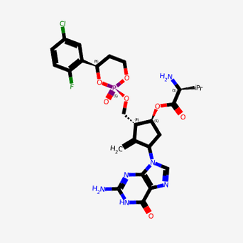 C=C1C(n2cnc3c(=O)[nH]c(N)nc32)C[C@H](OC(=O)[C@@H](N)C(C)C)[C@H]1CO[P@]1(=O)OCC[C@H](c2cc(Cl)ccc2F)O1